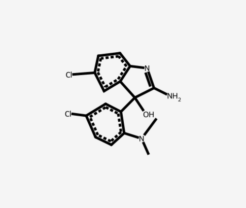 CN(C)c1ccc(Cl)cc1C1(O)C(N)=Nc2ccc(Cl)cc21